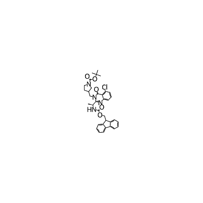 C[C@H](NC(=O)OCC1c2ccccc2-c2ccccc21)c1nc2cccc(Cl)c2c(=O)n1CC1CCN(C(=O)OC(C)(C)C)C1